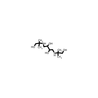 CC(C)(CO)NCC(O)C(O)CNC(C)(C)CO